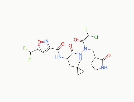 CC1(CC(NC(=O)c2cc(C(F)F)on2)C(=O)NN(CC2CCNC2=O)C(=O)C(F)Cl)CC1